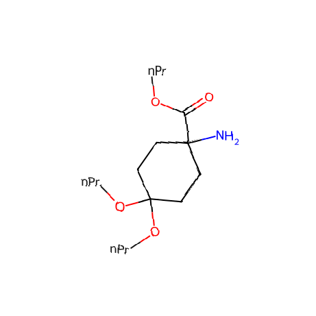 CCCOC(=O)C1(N)CCC(OCCC)(OCCC)CC1